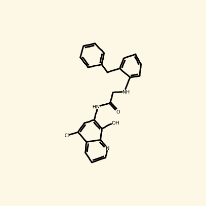 O=C(CNc1ccccc1Cc1ccccc1)Nc1cc(Cl)c2cccnc2c1O